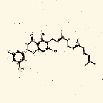 CC(C)=CCC/C(C)=C/CC/C(C)=C/Cc1c(O)cc2c(c1O)C(=O)C[C@@H](c1cc(C)cc(O)c1)O2